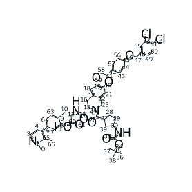 Cc1nccc(-c2ccc(C[C@H](NC(=O)[C@@H]3Cc4cc5c(cc4CN3C(=O)[C@H]3CC[C@@H](NC(=O)OC(C)(C)C)C3)O[C@@H](c3ccc(OCc4ccc(Cl)c(Cl)c4)cc3)CO5)C(=O)O)cc2)c1C